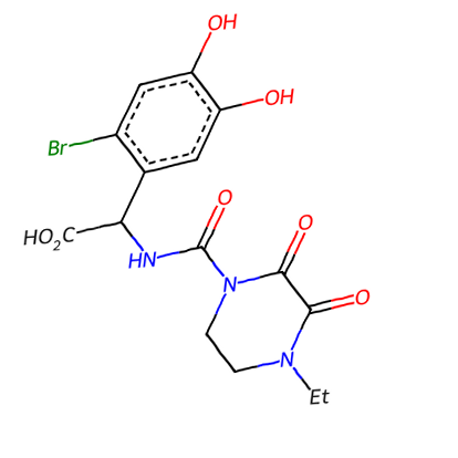 CCN1CCN(C(=O)NC(C(=O)O)c2cc(O)c(O)cc2Br)C(=O)C1=O